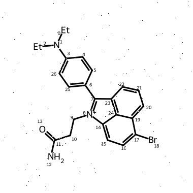 CCN(CC)c1ccc(C2=[N+](CCC(N)=O)c3ccc(Br)c4cccc2c34)cc1